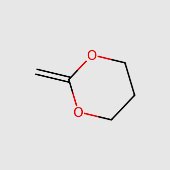 C=C1OCCCO1